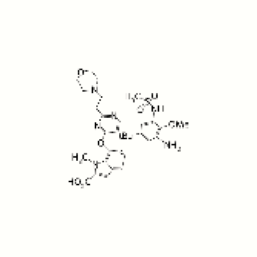 COc1c(N)cc(C(C)(C)C)cc1NS(C)(=O)=O.Cn1c(C(=O)O)cc2cccc(Oc3ccnc(CCN4CCOCC4)n3)c21